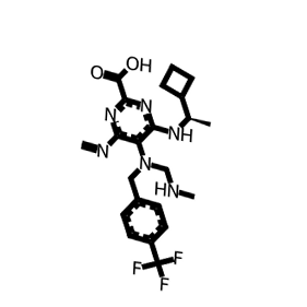 C=Nc1nc(C(=O)O)nc(N[C@H](C)C2CCC2)c1N(CNC)Cc1ccc(C(F)(F)F)cc1